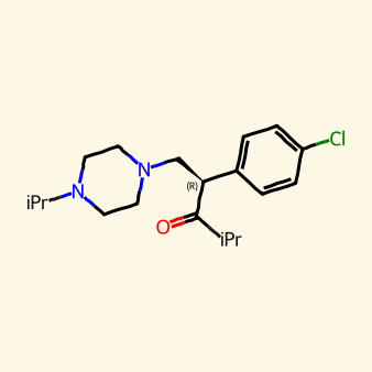 CC(C)C(=O)[C@@H](CN1CCN(C(C)C)CC1)c1ccc(Cl)cc1